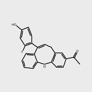 CC(=O)c1ccc2c(c1)CC=C(c1ccc(O)cc1F)c1ccccc1N2